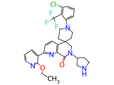 CCOc1ncccc1-c1ccc2c(n1)C(=O)N(C1CCNC1)CC21CCN(c2cccc(Cl)c2C(F)(F)F)CC1